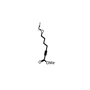 COC(=O)C#CCCCCOSI